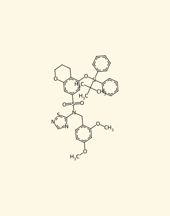 COc1ccc(CN(c2ncns2)S(=O)(=O)c2cc3c(c(O[Si](c4ccccc4)(c4ccccc4)C(C)(C)C)c2)CCCO3)c(OC)c1